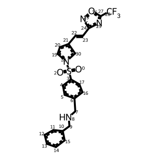 O=S(=O)(c1ccc(CNCc2ccccc2)cc1)n1ccc(C=Cc2noc(C(F)(F)F)n2)c1